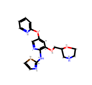 c1ccc(Oc2cnc(Nc3nccs3)c(OCC3CNCCO3)c2)nc1